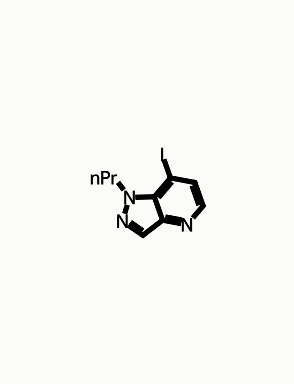 CCCn1ncc2nccc(I)c21